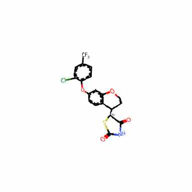 O=C1NC(=O)[C@H](C2CCOc3cc(Oc4ccc(C(F)(F)F)cc4Cl)ccc32)S1